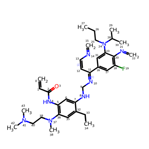 C=CC(=O)Nc1cc(NC/N=C(\C=C/N=C)c2cc(F)c(N=C)c(N(CCC)C(C)C)c2)c(CC)cc1N(C)CCN(C)C